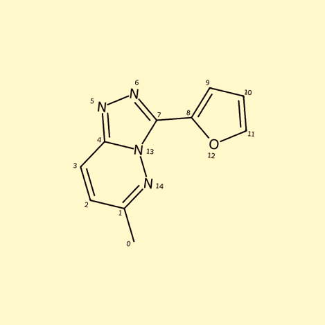 Cc1ccc2nnc(-c3ccco3)n2n1